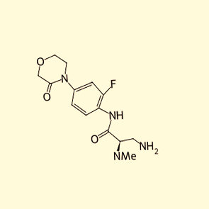 CN[C@H](CN)C(=O)Nc1ccc(N2CCOCC2=O)cc1F